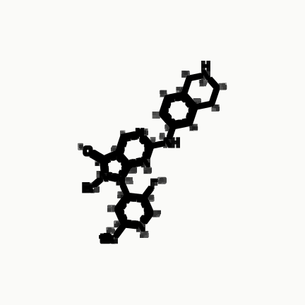 CCn1c(=O)c2cnc(Nc3ccc4c(c3)CCNC4)nc2n1-c1cc(C(C)(C)C)ncc1F